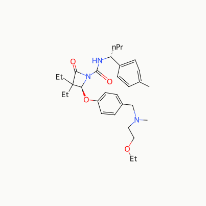 CCC[C@@H](NC(=O)N1C(=O)C(CC)(CC)[C@@H]1Oc1ccc(CN(C)CCOCC)cc1)c1ccc(C)cc1